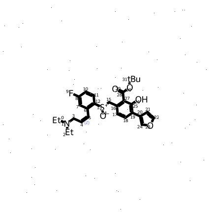 CCN(CC)C/C=C\c1cc(F)ccc1[S+]([O-])Cc1ccc(-c2ccoc2)c(O)c1C(=O)OC(C)(C)C